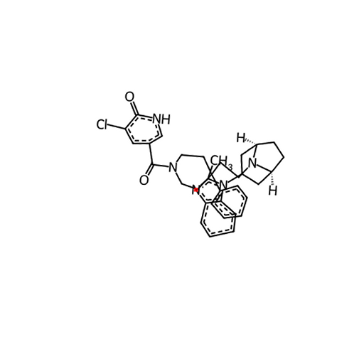 Cc1nc2ccccc2n1C1C[C@H]2CC[C@@H](C1)N2CCC1(c2ccccc2)CCN(C(=O)c2c[nH]c(=O)c(Cl)c2)CC1